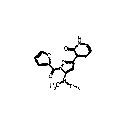 CN(C)c1cc(-c2ccc[nH]c2=O)nn1C(=O)c1ccco1